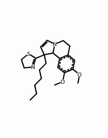 CCCCCCC1(C2=NCCS2)C=CN2CCc3cc(OC)c(OC)cc3C21